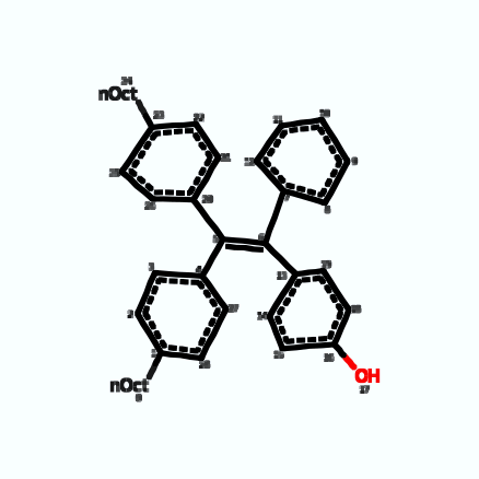 CCCCCCCCc1ccc(C(=C(c2ccccc2)c2ccc(O)cc2)c2ccc(CCCCCCCC)cc2)cc1